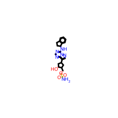 NS(=O)(=O)OCC1CC(c2cnn3c(NC4CCc5ccccc54)ncnc23)CC1O